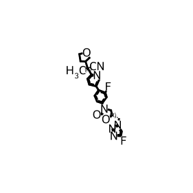 C[C@](C#N)(c1ccc(-c2ccc(N3C[C@H](Cn4cc(F)nn4)OC3=O)cc2F)cn1)C1CCOC1